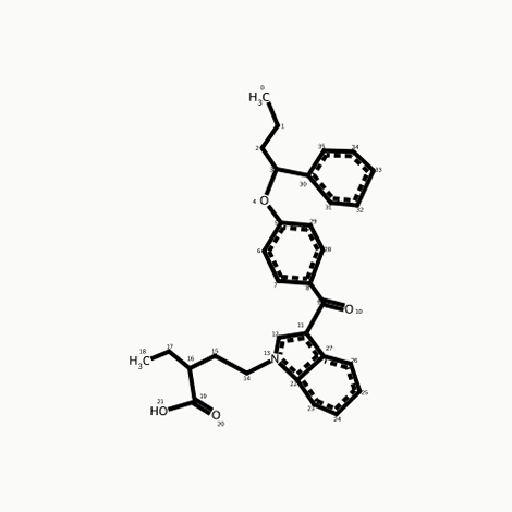 CCCC(Oc1ccc(C(=O)c2cn(CCC(CC)C(=O)O)c3ccccc23)cc1)c1ccccc1